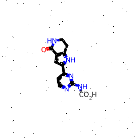 O=C(O)Nc1nccc(-c2cc3c([nH]2)CCNC3=O)n1